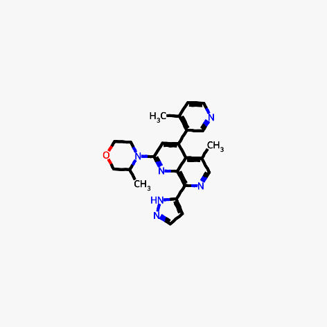 Cc1ccncc1-c1cc(N2CCOCC2C)nc2c(-c3ccn[nH]3)ncc(C)c12